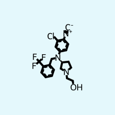 [C-]#[N+]c1ccc(N(Cc2ccccc2C(F)(F)F)[C@H]2CCN(CCO)C2)cc1Cl